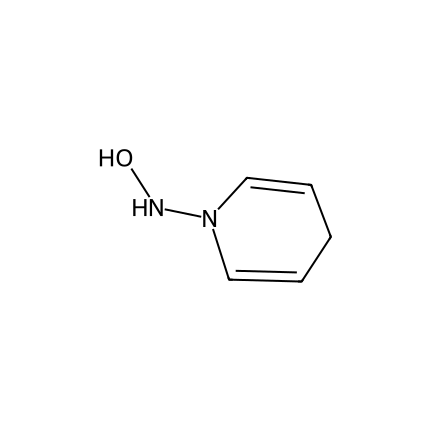 ONN1C=CCC=C1